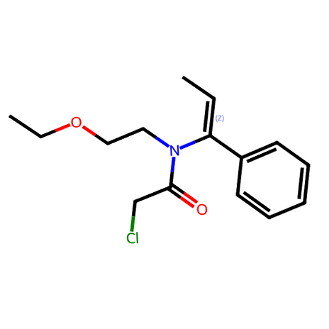 C/C=C(/c1ccccc1)N(CCOCC)C(=O)CCl